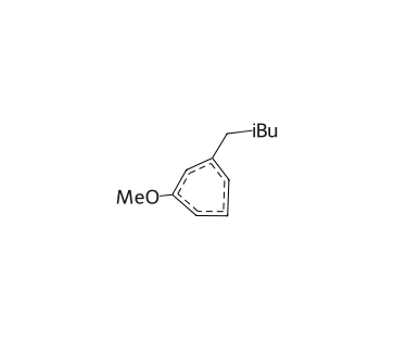 CCC(C)Cc1cccc(OC)c1